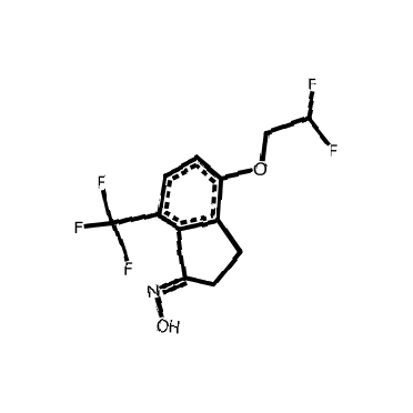 O/N=C1\CCc2c(OCC(F)F)ccc(C(F)(F)F)c21